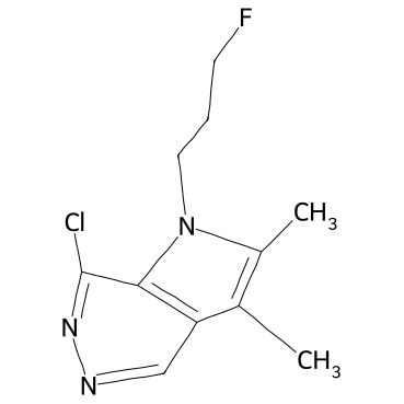 Cc1c(C)n(CCCF)c2c(Cl)nncc12